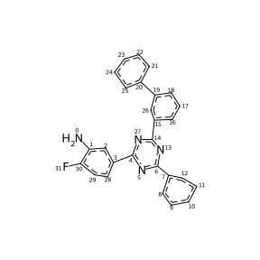 Nc1cc(-c2nc(-c3ccccc3)nc(-c3cccc(-c4ccccc4)c3)n2)ccc1F